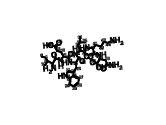 CCC(C)C(N)C(=O)NC(CCC(=O)O)C(=O)NC(Cc1c[nH]c2ccccc12)C(=O)NC(CC(C)C)C(=O)NC(CCCCN)C(=O)NC(CC(N)=O)C(=O)O